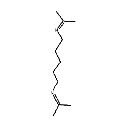 CC(C)=NCCCCCN=C(C)C